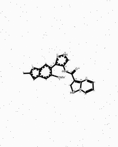 COc1cc2cc(C)sc2cc1-c1n[nH]cc1NC(=O)C1=C2N=CC=CN2NC1